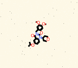 COc1ccc(Cn2c(=O)c3cc(OC(C)C)ccc3n(C3CCOCC3)c2=O)cc1OC